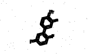 Cc1cc(-c2cc(F)ccc2F)ccc1C(C)C